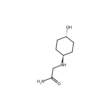 NC(=O)CN[C@H]1CC[C@H](O)CC1